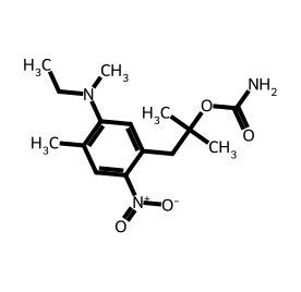 CCN(C)c1cc(CC(C)(C)OC(N)=O)c([N+](=O)[O-])cc1C